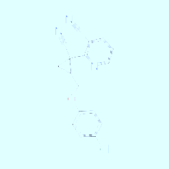 N#Cc1cccnc1C1(C#N)CC1COc1ccc(Cl)cc1